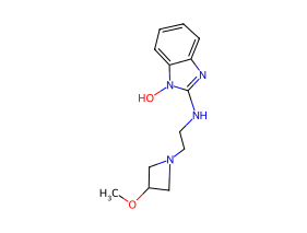 COC1CN(CCNc2nc3ccccc3n2O)C1